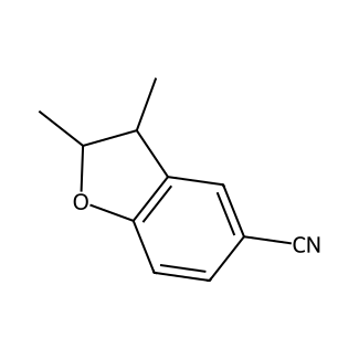 CC1Oc2ccc(C#N)cc2C1C